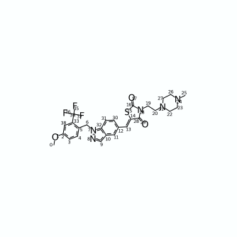 COc1ccc(Cn2ncc3cc(/C=C4\SC(=O)N(CCN5CCN(C)CC5)C4=O)ccc32)c(C(F)(F)F)c1